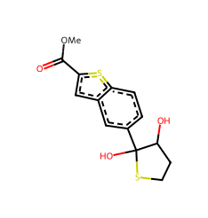 COC(=O)c1cc2cc(C3(O)SCCC3O)ccc2s1